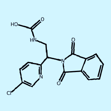 O=C(O)NCC(c1ccc(Cl)cn1)N1C(=O)c2ccccc2C1=O